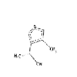 Cc1cscc1[C@@H](C)O